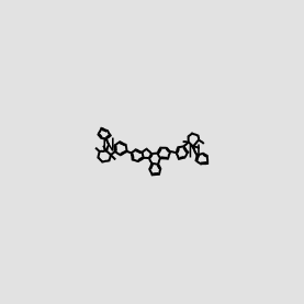 CC1CCCC2(C)c3cc(-c4ccc5c(c4)Cc4c-5c5ccccc5c5cc(-c6ccc7c(c6)C6(C)CCCC(C)C6(C)N7c6ccccc6)ccc45)ccc3N(c3ccccc3)C12C